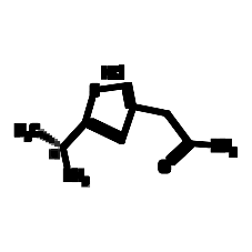 C[C@@H](N)c1cc(CC(N)=O)cs1.Cl